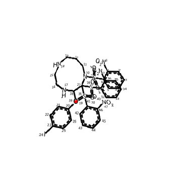 O=[N+]([O-])c1ccccc1S(=O)(=O)N1CCCNCCNC(Oc2ccc(I)cc2)C1(S(=O)(=O)c1ccccc1[N+](=O)[O-])S(=O)(=O)c1ccccc1[N+](=O)[O-]